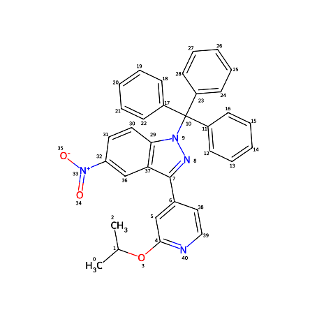 CC(C)Oc1cc(-c2nn(C(c3ccccc3)(c3ccccc3)c3ccccc3)c3ccc([N+](=O)[O-])cc23)ccn1